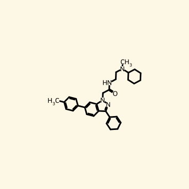 Cc1ccc(-c2ccc3c(C4=CCCC=C4)nn(CC(=O)NCCN(C)C4CCCCC4)c3c2)cc1